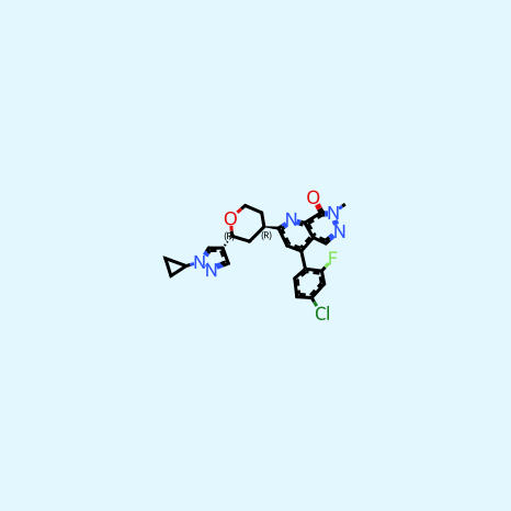 Cn1ncc2c(-c3ccc(Cl)cc3F)cc([C@@H]3CCO[C@@H](c4cnn(C5CC5)c4)C3)nc2c1=O